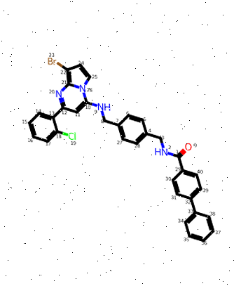 O=C(NCc1ccc(CNc2cc(-c3ccccc3Cl)nc3c(Br)ccn23)cc1)c1ccc(-c2ccccc2)cc1